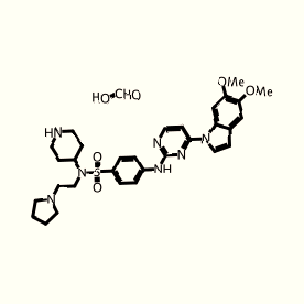 COc1cc2ccn(-c3ccnc(Nc4ccc(S(=O)(=O)N(CCN5CCCC5)C5CCNCC5)cc4)n3)c2cc1OC.O=CO